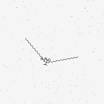 C=C(C)C(CCCCCCCCCCCCCCCCCC)(CCCCCCCCCCCCCCCCCC)C(N)=O